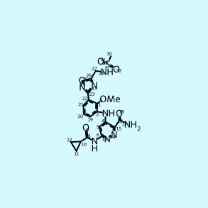 COc1c(Nc2cc(NC(=O)C3CC3)nnc2C(N)=O)cccc1-c1noc(CNS(C)(=O)=O)n1